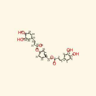 O=C(/C=C/c1ccc(O)c(O)c1)OCc1ccc(OC(=O)/C=C/c2ccc(O)c(O)c2)cc1